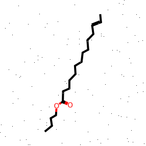 C/C=C/CCCCCCCCCCC(=O)OCCCC